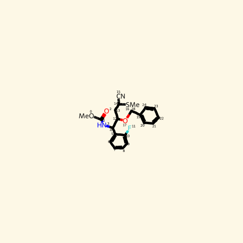 COC(=O)NC(c1ccccc1F)C(CC(C#N)SC)OCc1ccccc1